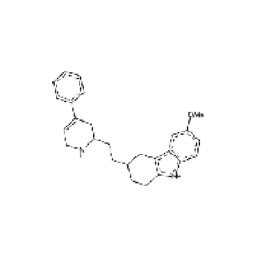 COc1ccc2[nH]c3c(c2c1)CC(CCC1CC(c2ccccc2)=CCN1)CC3